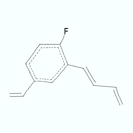 C=CC=Cc1cc(C=C)ccc1F